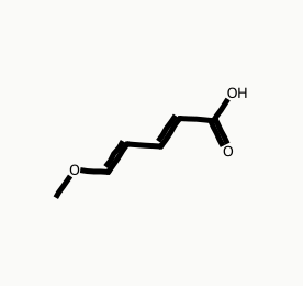 COC=CC=CC(=O)O